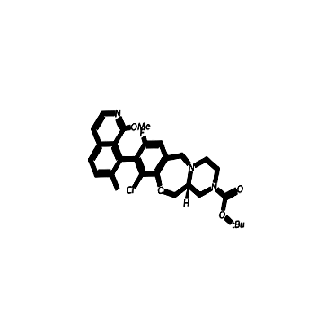 COc1nccc2ccc(C)c(-c3c(F)cc4c(c3Cl)OC[C@H]3CN(C(=O)OC(C)(C)C)CCN3C4)c12